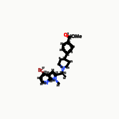 COC(=O)c1ccc(C2CCN([C@@H](C)c3cc4c(Br)ccnc4n3C)CC2)cc1